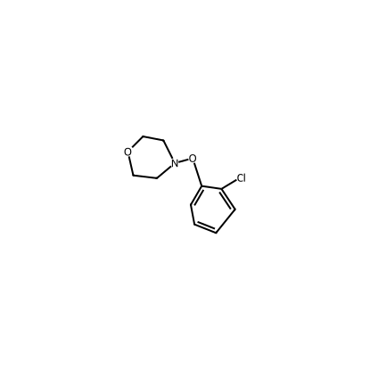 Clc1ccccc1ON1CCOCC1